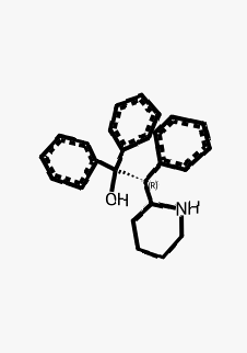 OC(c1ccccc1)(c1ccccc1)[C@H](c1ccccc1)C1CCCCN1